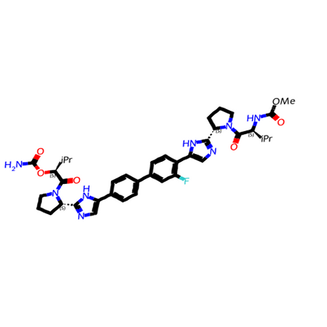 COC(=O)N[C@H](C(=O)N1CCC[C@H]1c1ncc(-c2ccc(-c3ccc(-c4cnc([C@@H]5CCCN5C(=O)[C@@H](OC(N)=O)C(C)C)[nH]4)cc3)cc2F)[nH]1)C(C)C